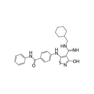 N=C(NCC1CCCCC1)c1c(O)nsc1Nc1ccc(C(=O)Nc2ccccc2)cc1